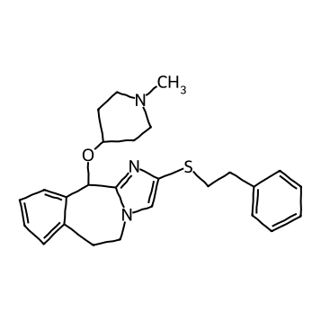 CN1CCC(OC2c3ccccc3CCn3cc(SCCc4ccccc4)nc32)CC1